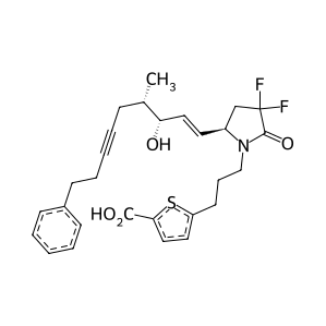 C[C@@H](CC#CCCc1ccccc1)[C@@H](O)C=C[C@H]1CC(F)(F)C(=O)N1CCCc1ccc(C(=O)O)s1